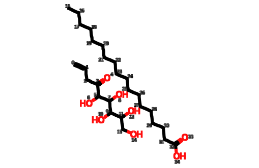 C=CCC(=O)C(O)C(O)C(O)C(O)CO.CCCCCCCCCCCCCCCCCC(=O)O